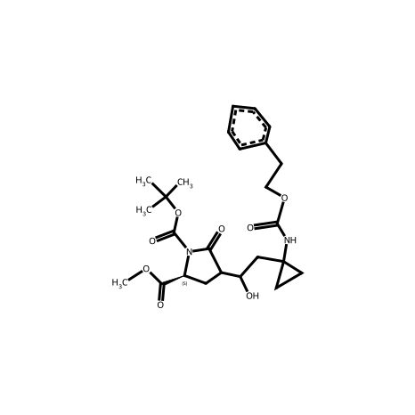 COC(=O)[C@@H]1CC(C(O)CC2(NC(=O)OCCc3ccccc3)CC2)C(=O)N1C(=O)OC(C)(C)C